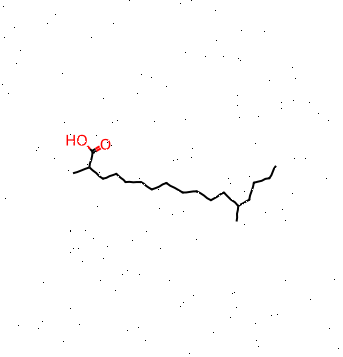 CCCCC(C)CCCCCCCCCCC(C)C(=O)O